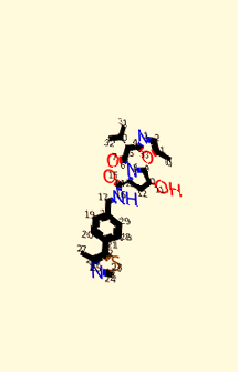 Cc1cnc([C@H](C(=O)N2C[C@H](O)C[C@H]2C(=O)NCc2ccc(-c3scnc3C)cc2)C(C)C)o1